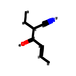 CC=CC(=O)C(C#N)CC